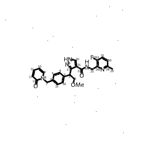 COCC(c1ccc(Cn2ccccc2=O)cc1)c1n[nH]cc1C(=O)NCc1nc(C)ccc1F